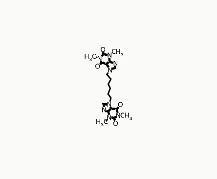 Cn1c(=O)c2c(ncn2CCCCCCn2cnc3c2c(=O)n(C)c(=O)n3C)n(C)c1=O